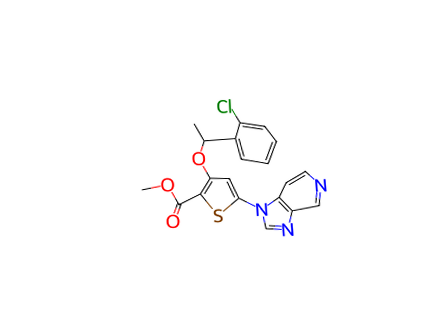 COC(=O)c1sc(-n2cnc3cnccc32)cc1OC(C)c1ccccc1Cl